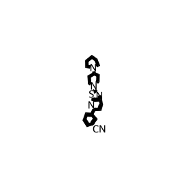 N#Cc1cccc(-c2ccc3nc(N4CCC(N5CCCCC5)CC4)sc3n2)c1